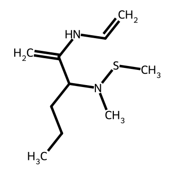 C=CNC(=C)C(CCC)N(C)SC